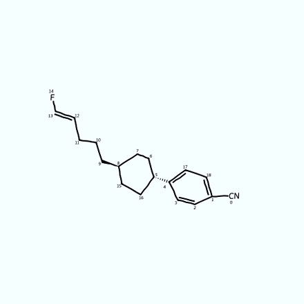 N#Cc1ccc([C@H]2CC[C@H](CCC/C=C/F)CC2)cc1